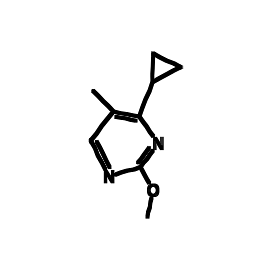 COc1ncc(C)c(C2CC2)n1